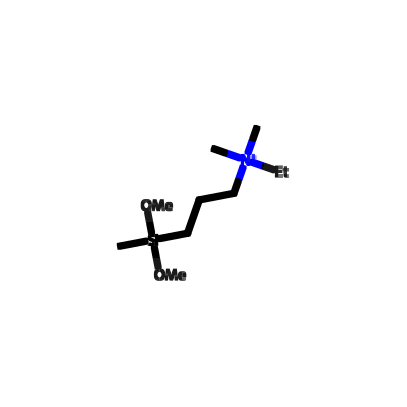 CC[N+](C)(C)CCC[Si](C)(OC)OC